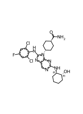 NC(=O)[C@H]1CC[C@H](n2c(Nc3c(Cl)cc(F)cc3Cl)nc3cnc(N[C@@H]4CCCC[C@H]4O)nc32)CC1